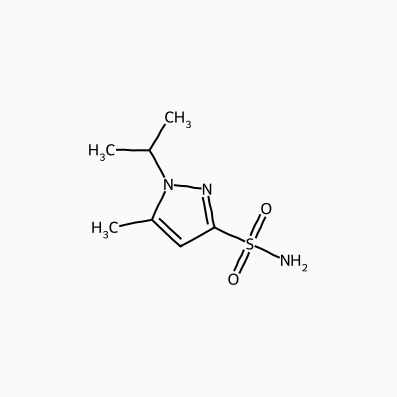 Cc1cc(S(N)(=O)=O)nn1C(C)C